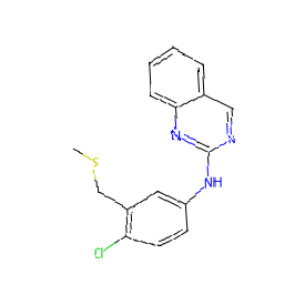 CSCc1cc(Nc2ncc3ccccc3n2)ccc1Cl